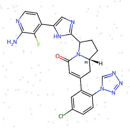 Nc1nccc(-c2cnc(C3CC[C@@H]4CC(c5cc(Cl)ccc5-n5cnnn5)=CC(=O)N34)[nH]2)c1F